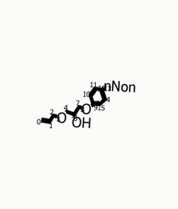 C=CCOCC(O)COc1ccc(CCCCCCCCC)cc1